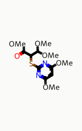 COC(=O)C(Sc1nc(OC)cc(OC)n1)C(OC)OC